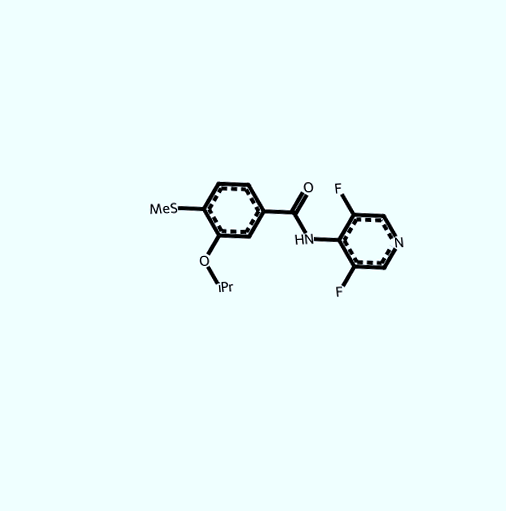 CSc1ccc(C(=O)Nc2c(F)cncc2F)cc1OC(C)C